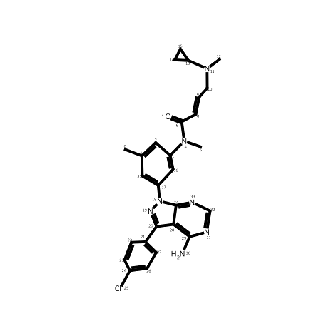 Cc1cc(N(C)C(=O)/C=C/CN(C)C2CC2)cc(-n2nc(-c3ccc(Cl)cc3)c3c(N)ncnc32)c1